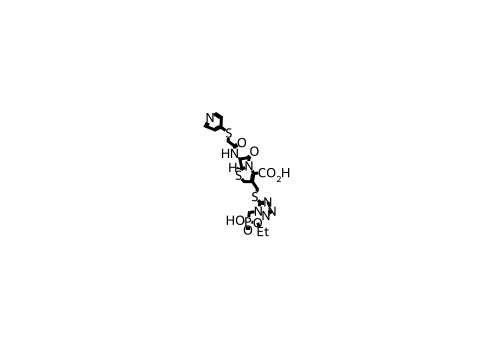 CCOP(=O)(O)Cn1nnnc1SCC1=C(C(=O)O)N2C(=O)[C@@H](NC(=O)CSc3ccncc3)[C@H]2SC1